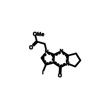 COC(=O)Cn1cc(I)c2c(=O)n3c(nc21)CCC3